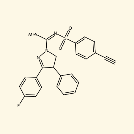 C#Cc1ccc(S(=O)(=O)N=C(SC)N2CC(c3ccccc3)C(c3ccc(F)cc3)=N2)cc1